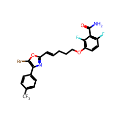 NC(=O)c1c(F)ccc(OCCCC=Cc2nc(-c3ccc(C(F)(F)F)cc3)c(Br)o2)c1F